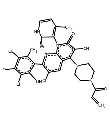 C=CC(=O)N1CCN(c2c(C#N)c(=O)n(C3=C(C)C=CN[C@@H]3C(C)C)c3nc(-c4c(C)c(Cl)c(F)c(Cl)c4O)c(Cl)cc23)CC1